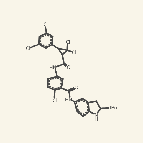 CC(C)(C)C1Cc2cc(NC(=O)c3cc(NC(=O)C4C(c5cc(Cl)cc(Cl)c5)C4(Cl)Cl)ccc3Cl)ccc2N1